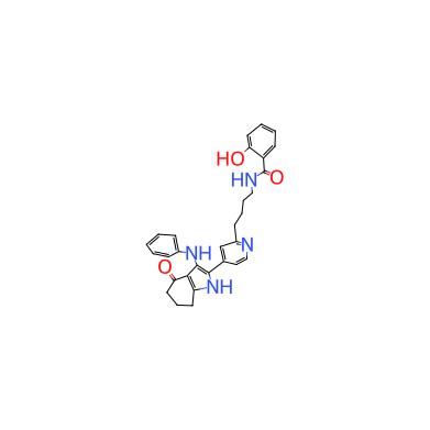 O=C(NCCCCc1cc(-c2[nH]c3c(c2Nc2ccccc2)C(=O)CCC3)ccn1)c1ccccc1O